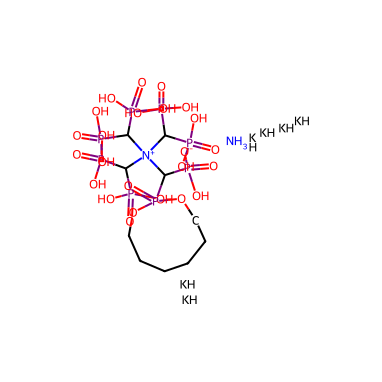 N.O=P([O-])(O)C([N+](C(P(=O)(O)O)P(=O)(O)O)(C(P(=O)(O)O)P(=O)(O)O)C(P(=O)(O)O)P(=O)(O)O)P1(=O)OCCCCCCO1.[KH].[KH].[KH].[KH].[KH].[KH]